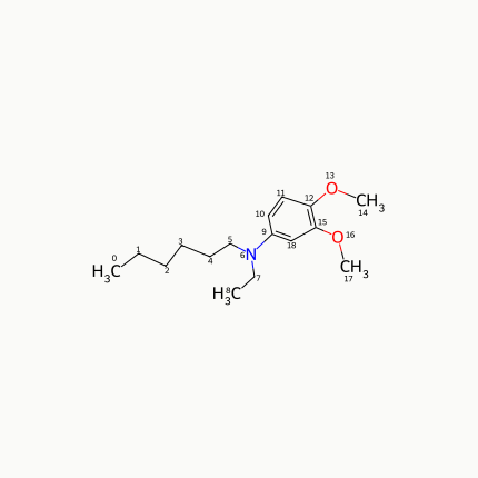 CCCCCCN(CC)c1ccc(OC)c(OC)c1